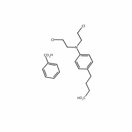 O=C(O)CCCc1ccc(N(CCCl)CCCl)cc1.O=C(O)c1ccccc1